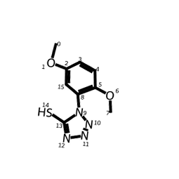 COc1ccc(OC)c(-n2nnnc2S)c1